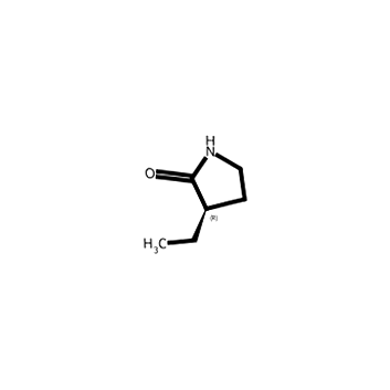 CC[C@@H]1CCNC1=O